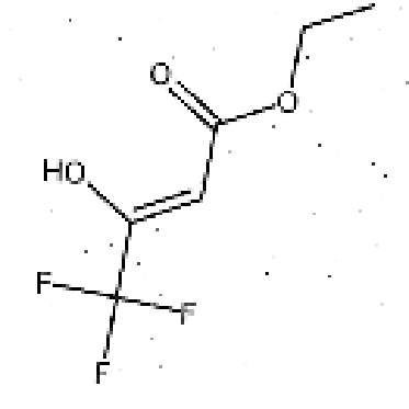 CCOC(=O)/C=C(\O)C(F)(F)F